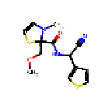 COCC1(C(=O)NC(C#N)c2ccsc2)SC=CN1C